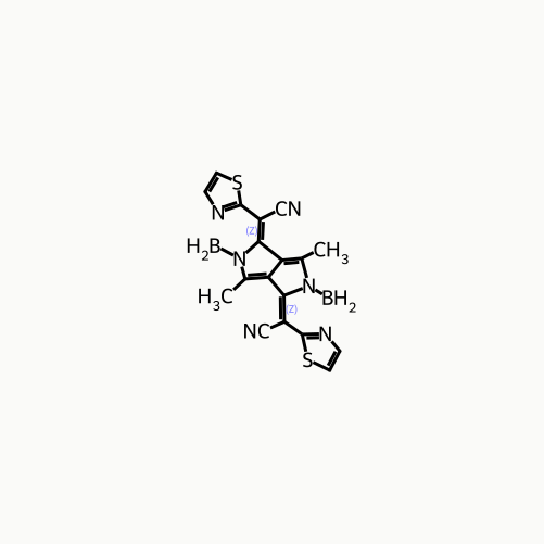 Bn1c(C)c2/c(=C(\C#N)c3nccs3)n(B)c(C)c2/c1=C(\C#N)c1nccs1